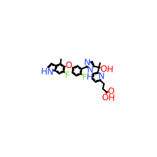 Cc1c(Oc2ccc(F)c(-c3ncc(C(C)(O)c4cccc(CCC(=O)O)n4)[nH]3)c2)c(F)cc2[nH]ccc12